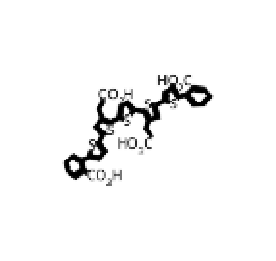 O=C(O)CCc1cc(-c2ccc(-c3ccccc3C(=O)O)s2)sc1-c1ccc(-c2sc(-c3ccc(-c4ccccc4C(=O)O)s3)cc2CCC(=O)O)s1